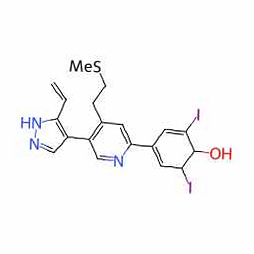 C=Cc1[nH]ncc1-c1cnc(C2=CC(I)C(O)C(I)=C2)cc1CCSC